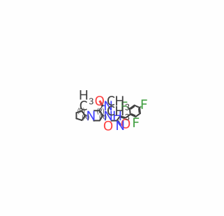 C[C@@H]1CCC[C@H]1N1CC[C@@H](NC(=O)c2cc(-c3c(F)cc(F)cc3F)on2)[C@H](C(=O)N(C)C)C1